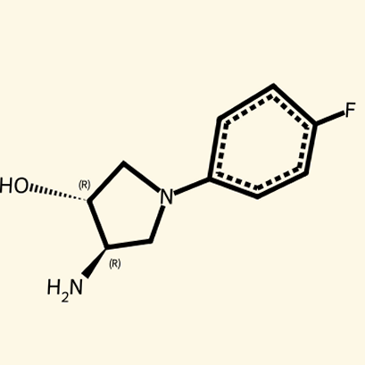 N[C@@H]1CN(c2ccc(F)cc2)C[C@H]1O